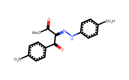 COC(=O)C(=NNc1ccc(S(=O)(=O)O)cc1)C(=O)c1ccc([N+](=O)[O-])cc1